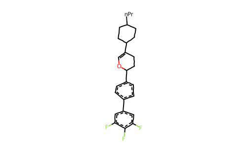 CCCC1CCC(C2=COC(c3ccc(-c4cc(F)c(F)c(F)c4)cc3)CC2)CC1